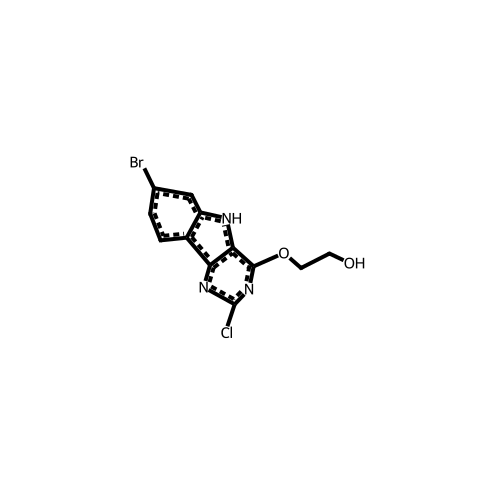 OCCOc1nc(Cl)nc2c1[nH]c1cc(Br)ccc12